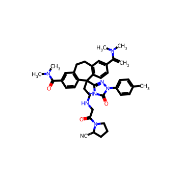 C=C(c1ccc2c(c1)CCc1cc(C(=O)N(C)C)ccc1C2(CCNCC(=O)N1CCCC1C#N)c1nn(-c2ccc(C)cc2)c(=O)[nH]1)N(C)C